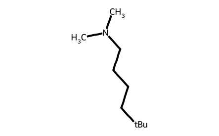 CN(C)CCCCC(C)(C)C